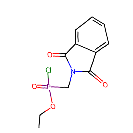 CCOP(=O)(Cl)CN1C(=O)c2ccccc2C1=O